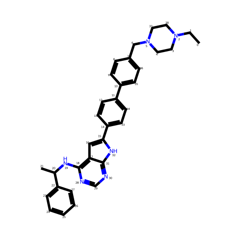 CCN1CCN(Cc2ccc(-c3ccc(-c4cc5c(NC(C)c6ccccc6)ncnc5[nH]4)cc3)cc2)CC1